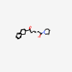 O=C(CCCCC(=O)N1CCCCC1)c1ccc2ccccc2c1